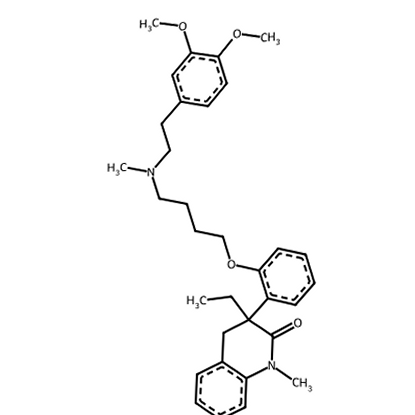 CCC1(c2ccccc2OCCCCN(C)CCc2ccc(OC)c(OC)c2)Cc2ccccc2N(C)C1=O